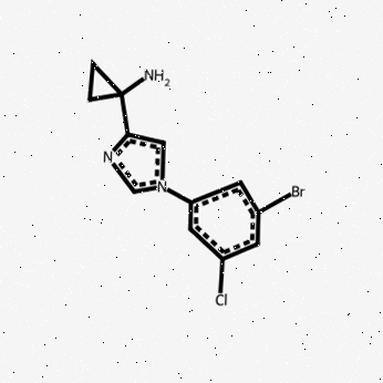 NC1(c2cn(-c3cc(Cl)cc(Br)c3)cn2)CC1